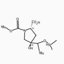 C[SiH](C)OC(C(C)(C)C)[C@@]1(O)C[C@@H](C(=O)O)N(C(=O)OC(C)(C)C)C1